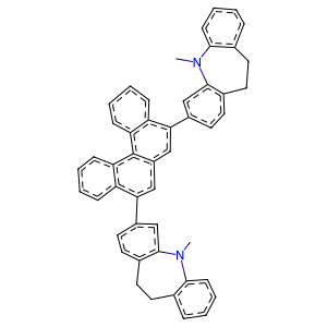 CN1c2ccccc2CCc2ccc(-c3cc4cc(-c5ccc6c(c5)N(C)c5ccccc5CC6)c5ccccc5c4c4ccccc34)cc21